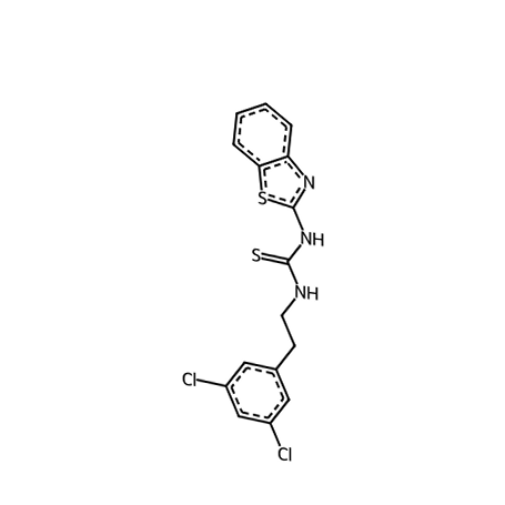 S=C(NCCc1cc(Cl)cc(Cl)c1)Nc1nc2ccccc2s1